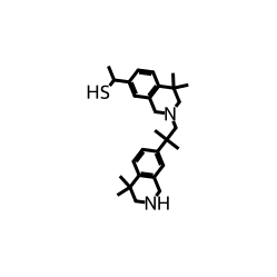 CC(S)c1ccc2c(c1)CN(CC(C)(C)c1ccc3c(c1)CNCC3(C)C)CC2(C)C